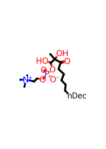 CCCCCCCCCCCCCCCC(=O)C(C)(O)C(O)OP(=O)([O-])OCC[N+](C)(C)C